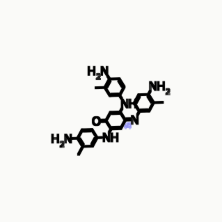 Cc1cc(/N=C2/C=C(Nc3ccc(N)c(C)c3)C(=O)C=C2Nc2ccc(N)c(C)c2)ccc1N